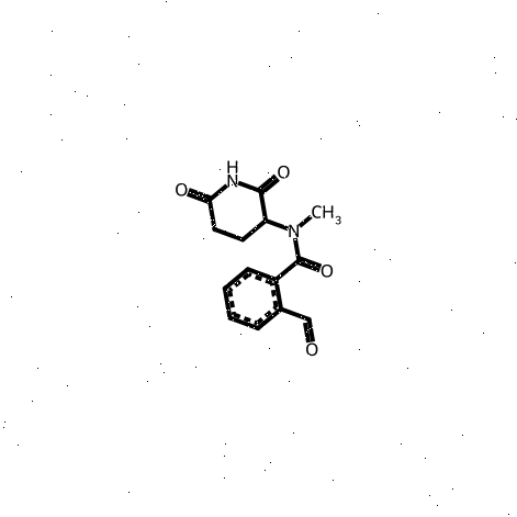 CN(C(=O)c1ccccc1C=O)C1CCC(=O)NC1=O